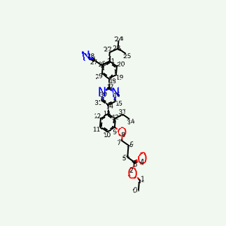 CCOC(=O)CCCOc1cccc(-c2cnc(-c3ccc(CC(C)C)c(C#N)c3)nc2)c1CC